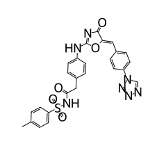 Cc1ccc(S(=O)(=O)NC(=O)Cc2ccc(NC3=NC(=O)C(=Cc4ccc(-n5cnnn5)cc4)O3)cc2)cc1